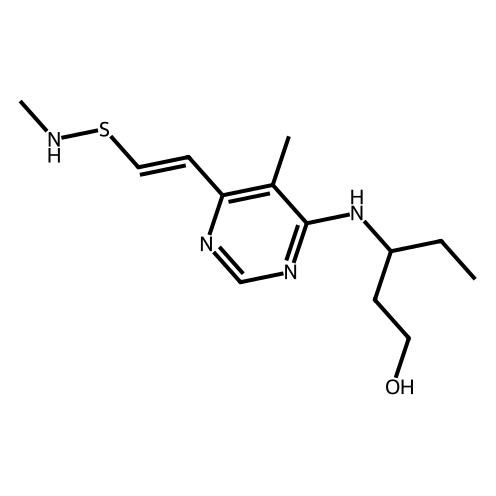 CCC(CCO)Nc1ncnc(/C=C/SNC)c1C